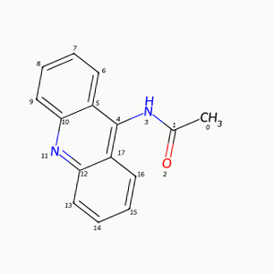 CC(=O)Nc1c2ccccc2nc2ccccc12